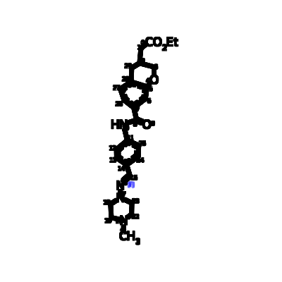 CCOC(=O)CC1COc2cc(C(=O)Nc3ccc(/C=N/N4CCN(C)CC4)cc3)ccc2C1